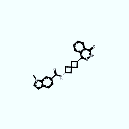 Cn1ccc2ccc(C(=O)N[C@H]3CC4(C3)C[C@H](c3n[nH]c(=O)c5ccccc53)C4)cc21